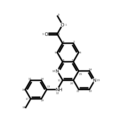 COC(=O)c1ccc2c(c1)nc(Nc1cccc(C)c1)c1ccncc12